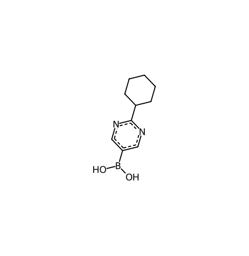 OB(O)c1cnc(C2CCCCC2)nc1